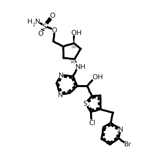 NS(=O)(=O)OCC1C[C@@H](Nc2ncncc2C(O)c2cc(Cc3cccc(Br)n3)c(Cl)s2)C[C@@H]1O